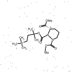 COC(=O)[C@@H]1CCCN(C(=O)OC(C)(C)C)N1C(=O)OC(C)(C)CC[N+](C)(C)C